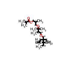 C=C(C)C(=O)OCC(C)COC(C)(C)C(C)COCC(CC)(CCC)C(C)(C)CC